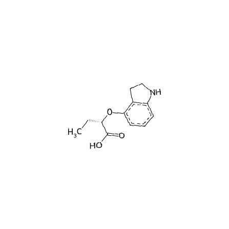 CC[C@H](Oc1cccc2c1CCN2)C(=O)O